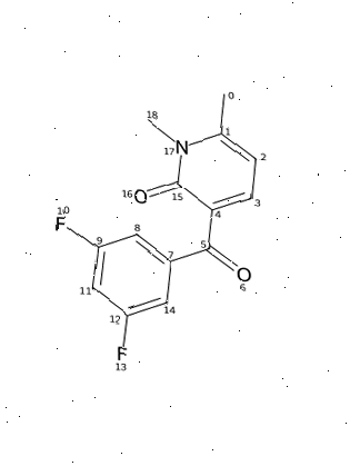 Cc1ccc(C(=O)c2cc(F)cc(F)c2)c(=O)n1C